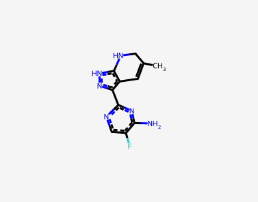 CC1=Cc2c(-c3ncc(F)c(N)n3)n[nH]c2NC1